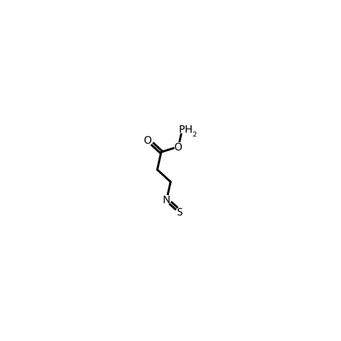 O=C(CCN=S)OP